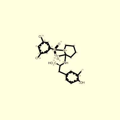 CC1(N[C@@H](Cc2ccc(O)c(I)c2)C(=O)O)CCCCN1S(=O)(=O)c1cc(Cl)cc(Cl)c1